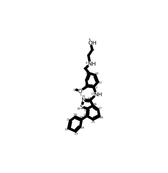 COc1cc(CNCCO)ccc1Nc1nsc2c(-c3ccccc3)cccc12